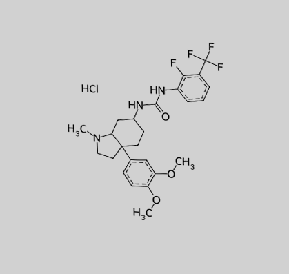 COc1ccc(C23CCC(NC(=O)Nc4cccc(C(F)(F)F)c4F)CC2N(C)CC3)cc1OC.Cl